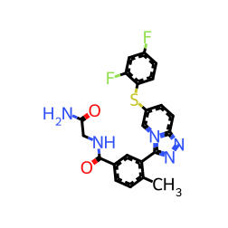 Cc1ccc(C(=O)NCC(N)=O)cc1-c1nnc2ccc(Sc3ccc(F)cc3F)cn12